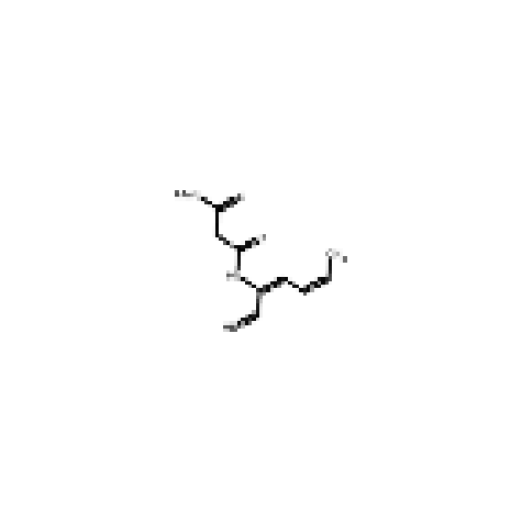 C/C=C\C=C(/C=N)NC(=O)CC(=O)NC